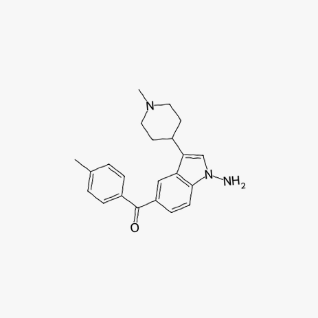 Cc1ccc(C(=O)c2ccc3c(c2)c(C2CCN(C)CC2)cn3N)cc1